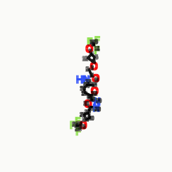 O=C(COC1CC(OC(F)(F)F)C1)N[C@H]1CC[C@H](c2nnc(C3CC(OC(F)(F)F)C3)o2)OC1